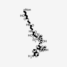 CCCCCCCCCC=CC(O)=CC(=O)SCCNC(=O)CCNC(=O)[C@H](O)C(C)(C)COP(=O)(O)OP(=O)(O)OC[C@H]1O[C@@H](n2cnc3c(N)ncnc32)[C@H](O)[C@@H]1OP(=O)(O)O